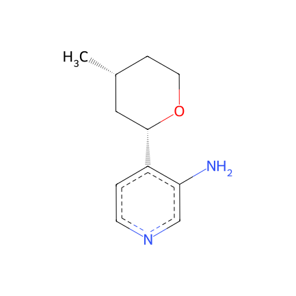 C[C@@H]1CCO[C@H](c2ccncc2N)C1